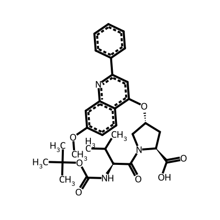 COc1ccc2c(O[C@@H]3C[C@@H](C(=O)O)N(C(=O)[C@@H](NC(=O)OC(C)(C)C)C(C)C)C3)cc(-c3ccccc3)nc2c1